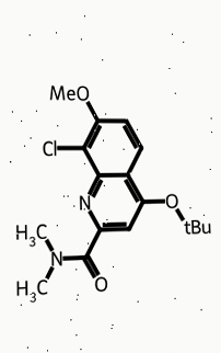 COc1ccc2c(OC(C)(C)C)cc(C(=O)N(C)C)nc2c1Cl